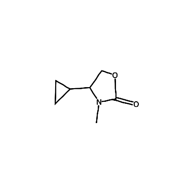 CN1C(=O)OCC1C1CC1